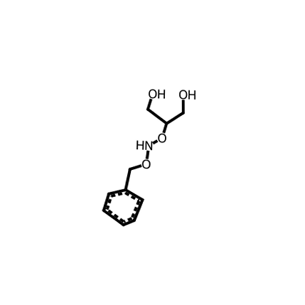 OCC(CO)ONOCc1ccccc1